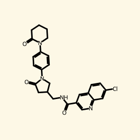 O=C(NCC1CC(=O)N(c2ccc(N3CCCCC3=O)cc2)C1)c1cnc2cc(Cl)ccc2c1